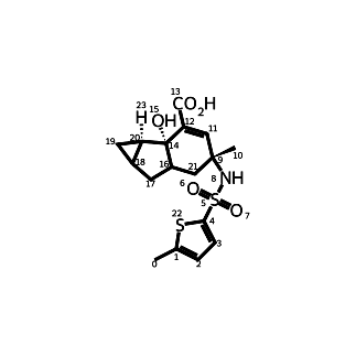 Cc1ccc(S(=O)(=O)N[C@@]2(C)C=C(C(=O)O)[C@@]3(O)C(CC4C[C@H]43)C2)s1